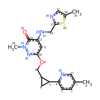 Cc1ccc(C2CC2COc2cc(NCc3ncc(C)s3)c(=O)n(C)n2)nc1